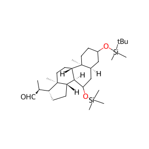 C[C@H](C=O)[C@H]1CC[C@H]2[C@@H]3C(O[Si](C)(C)C)C[C@@H]4CC(O[Si](C)(C)C(C)(C)C)CC[C@]4(C)[C@H]3CC[C@]12C